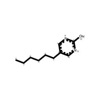 CCCCCCc1cnc(O)nc1